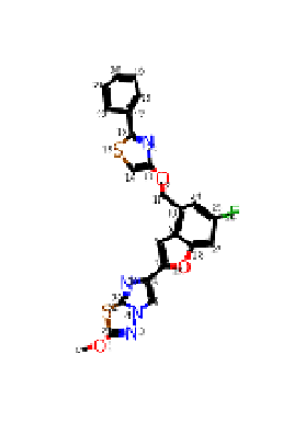 COc1nn2cc(-c3cc4c(COc5csc(-c6ccccc6)n5)cc(F)cc4o3)nc2s1